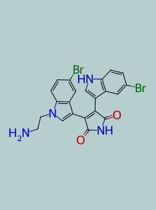 NCCn1cc(C2=C(c3c[nH]c4ccc(Br)cc34)C(=O)NC2=O)c2cc(Br)ccc21